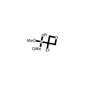 CCC[Si](OC)(OC)C1(CC)COC1